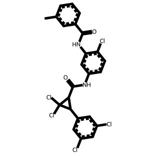 Cc1cccc(C(=O)Nc2cc(NC(=O)C3C(c4cc(Cl)cc(Cl)c4)C3(Cl)Cl)ccc2Cl)c1